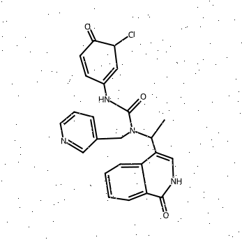 CC(c1c[nH]c(=O)c2ccccc12)N(Cc1cccnc1)C(=O)NC1=CC(Cl)C(=O)C=C1